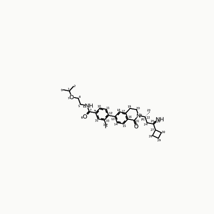 CC(C)OCCNC(=O)c1ccc(-c2ccc3c(c2)CCN([C@H](C)CC(=N)C2CCC2)C3=O)c(F)c1